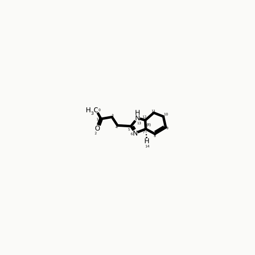 CC(=O)CCC1=N[C@@H]2C=CCCC2N1